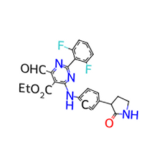 CCOC(=O)c1c(C=O)nc(-c2c(F)cccc2F)nc1Nc1ccc(C2CCNC2=O)cc1